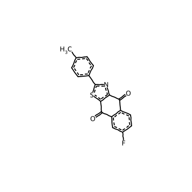 Cc1ccc(-c2nc3c(s2)C(=O)c2cc(F)ccc2C3=O)cc1